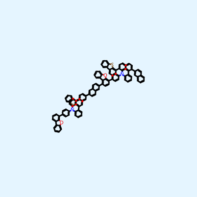 c1cc(-c2ccc(-c3ccc4cc(-c5ccc(-c6ccc(N(c7ccccc7-c7ccccc7-c7ccc8ccccc8c7)c7ccccc7-c7cccc8c7sc7ccccc78)cc6)c6oc7ccccc7c56)ccc4c3)cc2)cc(N(c2ccc(-c3cccc4c3oc3ccccc34)cc2)c2ccccc2-c2cccc3c2sc2ccccc23)c1